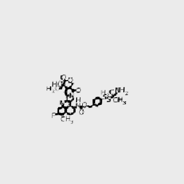 CC[C@@]1(O)C(=O)OCc2c1cc1n(c2=O)Cc2c-1nc1cc(F)c(C)c3c1c2[C@@H](NC(=O)OCc1ccc(SSC(C)(C)CN)cc1)CC3